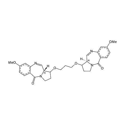 COc1ccc2c(c1)N=C[C@@H]1C(OCCCOC3CCN4C(=O)c5ccc(OC)cc5N=C[C@H]34)CCN1C2=O